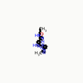 CCCCC(=O)Nc1cncc(-c2ccc3[nH]nc(-c4nc5c(-n6cnc(C)c6)cccc5[nH]4)c3c2)c1